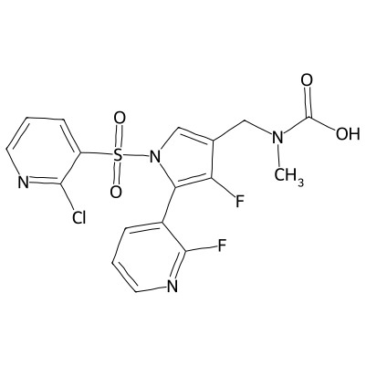 CN(Cc1cn(S(=O)(=O)c2cccnc2Cl)c(-c2cccnc2F)c1F)C(=O)O